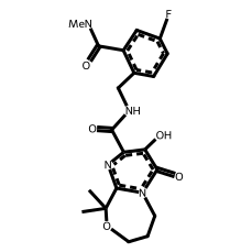 CNC(=O)c1cc(F)ccc1CNC(=O)c1nc2n(c(=O)c1O)CCCOC2(C)C